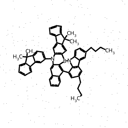 CCCCc1ccc2c(c1)c1cc(CCCC)cc3c1n2B1c2cc4c(cc2N(c2ccc5c(c2)-c2ccccc2C5(C)C)c2cc5ccccc5c-3c21)-c1ccccc1C4(C)C